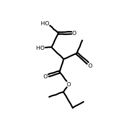 CCC(C)OC(=O)C(C(C)=O)C(O)C(=O)O